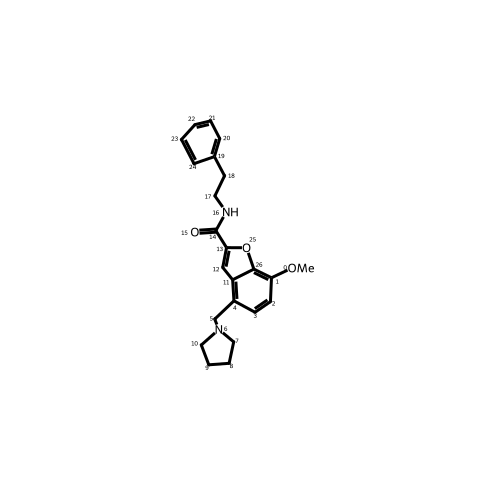 COc1ccc(CN2CCCC2)c2cc(C(=O)NCCc3ccccc3)oc12